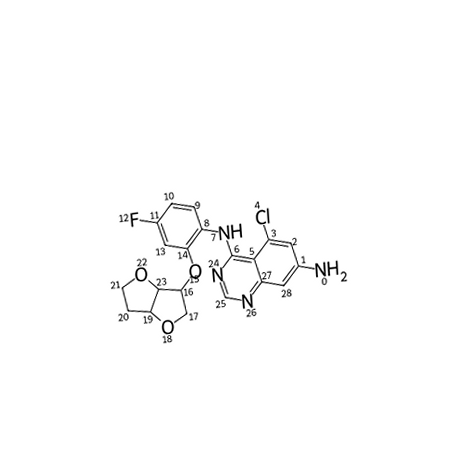 Nc1cc(Cl)c2c(Nc3ccc(F)cc3OC3COC4CCOC43)ncnc2c1